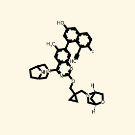 C#Cc1c(F)ccc2cc(O)cc(-c3cc4nc(OCC5(CN6C[C@H]7C[C@@H]6CO7)CC5)nc(N5CC6CCC(C5)N6)c4cc3C)c12